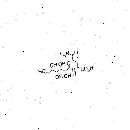 NC(=O)CC[C@H](NC(=O)[C@H](O)[C@@H](O)[C@H](O)[C@H](O)CO)C(=O)O